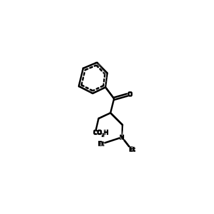 CCN(CC)CC(CC(=O)O)C(=O)c1ccccc1